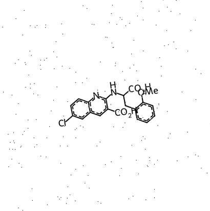 COc1ccccc1CC(Nc1nc2ccc(Cl)cc2cc1C(=O)O)C(=O)O